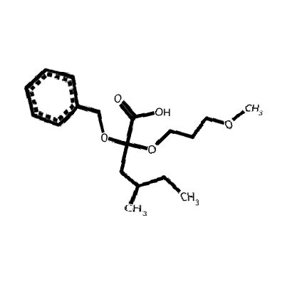 CCC(C)CC(OCCCOC)(OCc1ccccc1)C(=O)O